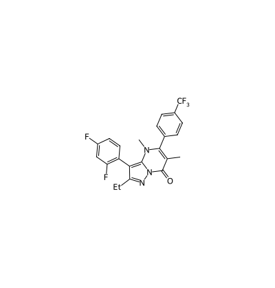 CCc1nn2c(=O)c(C)c(-c3ccc(C(F)(F)F)cc3)n(C)c2c1-c1ccc(F)cc1F